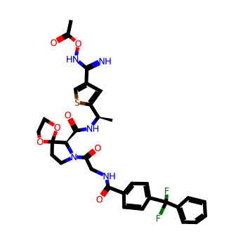 CC(=O)ONC(=N)c1csc([C@@H](C)NC(=O)[C@H]2N(C(=O)CNC(=O)c3ccc(C(F)(F)c4ccccc4)cc3)CCC23OCCO3)c1